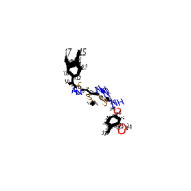 CCSC(Cc1nnc(C(C)c2ccc(C)c(C)c2)s1)c1nnc(NCOc2ccc(C)c(OC)c2)s1